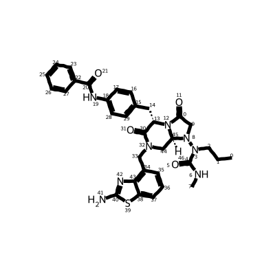 CCCN(C(=O)NC)N1CC(=O)N2[C@@H](Cc3ccc(NC(=O)c4ccccc4)cc3)C(=O)N(Cc3cccc4sc(N)nc34)C[C@@H]21